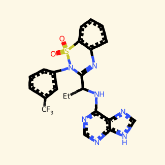 CCC(Nc1ncnc2[nH]cnc12)C1=Nc2ccccc2S(=O)(=O)N1c1cccc(C(F)(F)F)c1